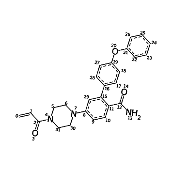 C=CC(=O)N1CCN(c2ccc(C(N)=O)c(-c3ccc(Oc4ccccc4)cc3)c2)CC1